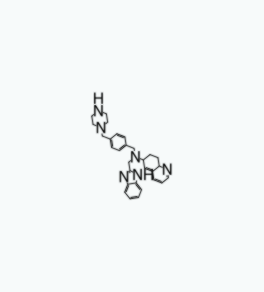 C1=CC2=CC(N(Cc3ccc(CN4CCNCC4)cc3)Cc3nc4ccccc4[nH]3)CCC2N=C1